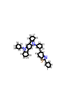 c1ccc(-c2nc3cc(-c4cccc(-n5c6ccccc6c6cc7c(cc65)c5ccccc5n7-c5ccccc5)c4)ccc3s2)cc1